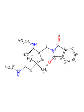 C[C@@H](NC(=O)O)C(CN1C(=O)c2ccccc2C1=O)CC(C)(C)CCNC(=O)O